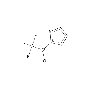 [O-][S+](c1c[c]cs1)C(F)(F)F